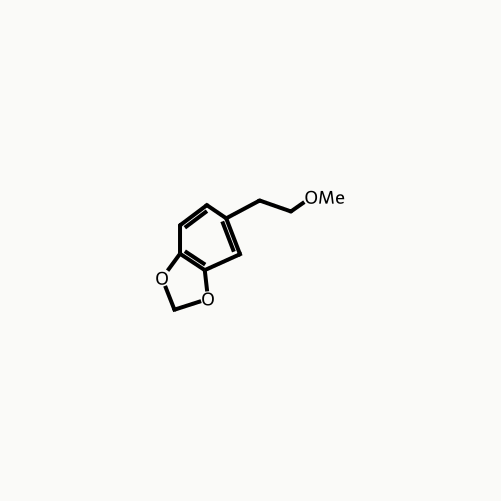 COCCc1ccc2c(c1)OCO2